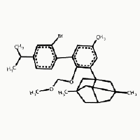 COCOc1c(-c2ccc(C(C)C)cc2Br)cc(C)cc1C12CC3CC(C)(CC(C)(C3)C1)C2